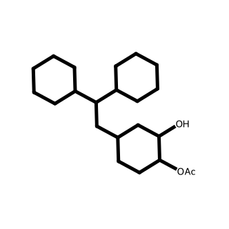 CC(=O)OC1CCC(CC(C2CCCCC2)C2CCCCC2)CC1O